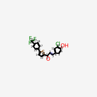 O=C(/C=C/c1ccc(O)c(Cl)c1)c1ccc(-c2ccc(C(F)(F)F)cc2)s1